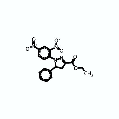 CCOC(=O)C1=NN(c2ccc([N+](=O)[O-])cc2[N+](=O)[O-])C(c2ccccc2)C1